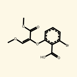 COC=C(Oc1cccc(Br)c1C(=O)O)C(=O)OC